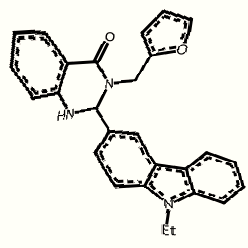 CCn1c2ccccc2c2cc(C3Nc4ccccc4C(=O)N3Cc3ccco3)ccc21